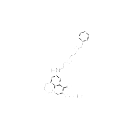 CCOC(=O)c1cn2c3c(cc(NCCOCCOCc4ccccc4)cc3c1=O)CCC2